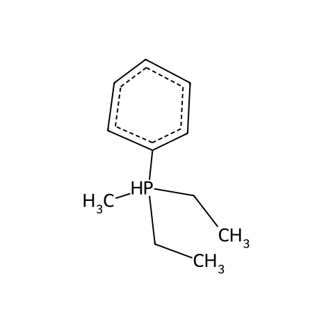 CC[PH](C)(CC)c1ccccc1